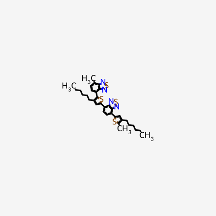 CCCCCCc1cc(-c2ccc(-c3cc(CCCCCC)c(-c4ccc(C)c5nsnc45)s3)c3nsnc23)sc1C